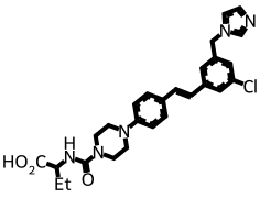 CCC(NC(=O)N1CCN(c2ccc(/C=C/c3cc(Cl)cc(Cn4ccnc4)c3)cc2)CC1)C(=O)O